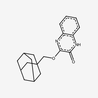 O=c1[nH]c2ccccc2nc1OCC12CC3CC(CC(C3)C1)C2